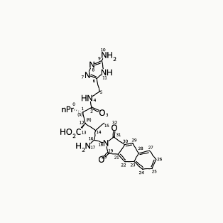 CCC[C@H](C(=O)NCc1nnc(N)[nH]1)[C@H](C(=O)O)C(C)C(N)N1C(=O)c2cc3ccccc3cc2C1=O